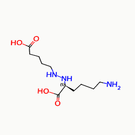 NCCCC[C@H](NNCCCCC(=O)O)C(=O)O